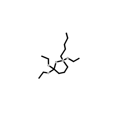 CCCCC[Si]1(OCC)CCCC(OCC)(OCC)O1